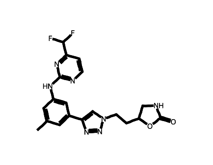 Cc1cc(Nc2nccc(C(F)F)n2)cc(-c2cn(CCC3CNC(=O)O3)nn2)c1